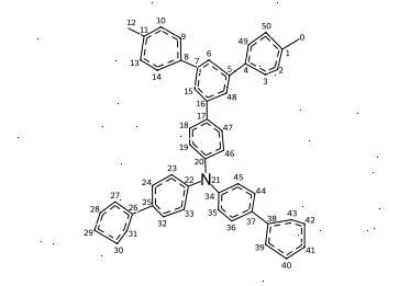 Cc1ccc(-c2cc(-c3ccc(C)cc3)cc(-c3ccc(N(c4ccc(-c5ccccc5)cc4)c4ccc(-c5ccccc5)cc4)cc3)c2)cc1